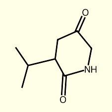 CC(C)C1CC(=O)CNC1=O